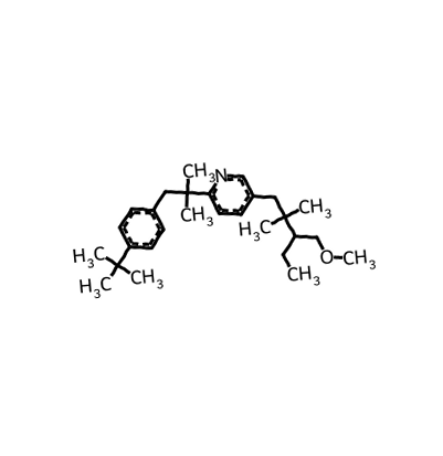 CCC(COC)C(C)(C)Cc1ccc(C(C)(C)Cc2ccc(C(C)(C)C)cc2)nc1